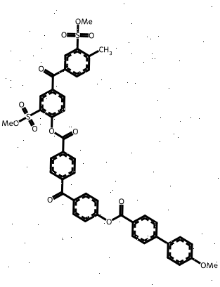 COc1ccc(-c2ccc(C(=O)Oc3ccc(C(=O)c4ccc(C(=O)Oc5ccc(C(=O)c6ccc(C)c(S(=O)(=O)OC)c6)cc5S(=O)(=O)OC)cc4)cc3)cc2)cc1